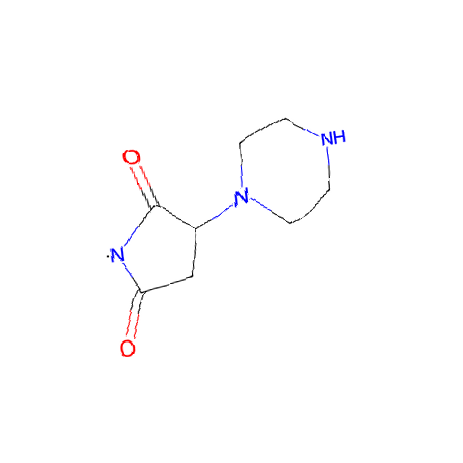 O=C1CC(N2CCNCC2)C(=O)[N]1